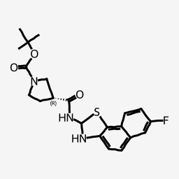 CC(C)(C)OC(=O)N1CC[C@@H](C(=O)NC2Nc3ccc4cc(F)ccc4c3S2)C1